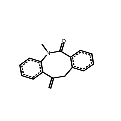 C=C1Cc2ccccc2C(=O)N(C)c2ccccc21